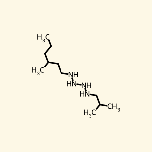 CCCC(C)CCNNNNCC(C)C